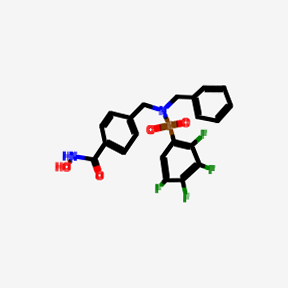 O=C(NO)c1ccc(CN(Cc2ccccc2)S(=O)(=O)c2cc(F)c(F)c(F)c2F)cc1